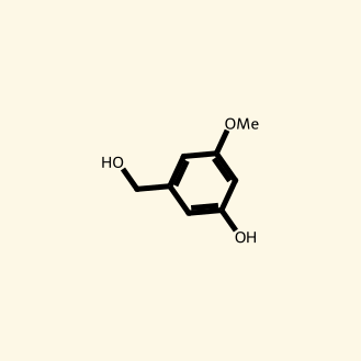 COc1cc(O)cc(CO)c1